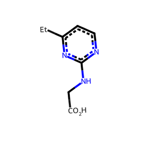 CCc1ccnc(NCC(=O)O)n1